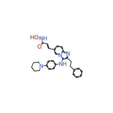 O=C(C=Cc1ccc2nc(CCc3ccccc3)c(Nc3ccc(N4CCCCC4)cc3)n2c1)NO